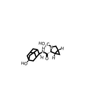 O=C(N[C@H]1C2CC3CC1C[C@@](O)(C3)C2)[C@H]1[C@H]2C[C@H]2CN1C(=O)O